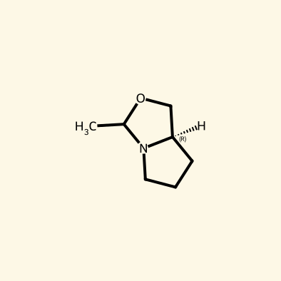 CC1OC[C@H]2CCCN12